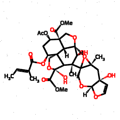 C/C=C(\C)C(=O)O[C@H]1C[C@@H](OC(C)=O)[C@@]2(C(=O)OC)CO[C@H]3[C@@H](O)[C@@](C)([C@@]45CO[C@@H]6OC=C[C@]6(O)C[C@]4(C)O5)C4[C@]1(CO[C@]4(O)C(=O)OC)[C@@H]32